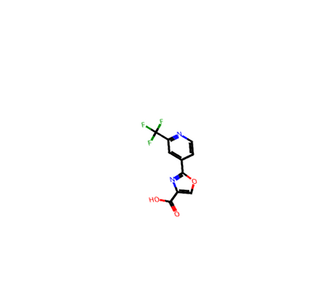 O=C(O)c1coc(-c2ccnc(C(F)(F)F)c2)n1